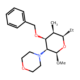 CC[C@H]1O[C@@H](OC)[C@@H](N2CCOCC2)[C@@H](OCc2ccccc2)[C@H]1C